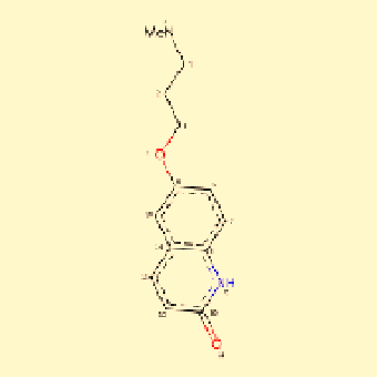 CNCCCOc1ccc2[nH]c(=O)ccc2c1